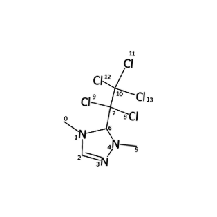 CN1C=NN(C)C1C(Cl)(Cl)C(Cl)(Cl)Cl